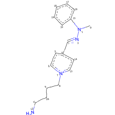 CN(/N=C/c1cc[n+](CCCCN)cc1)c1ccccc1